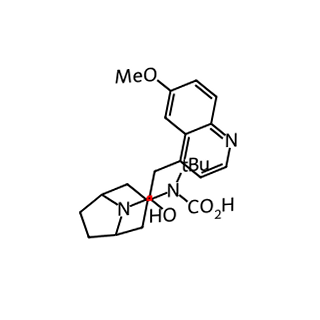 COc1ccc2nccc(CC(O)N3C4CCC3CC(N(C(=O)O)C(C)(C)C)C4)c2c1